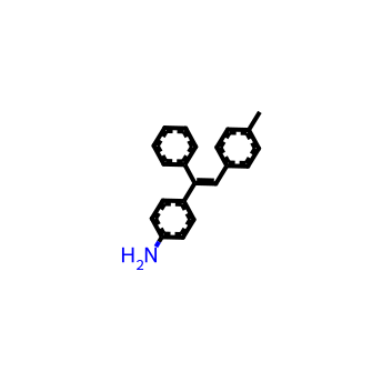 Cc1ccc(/C=C(\c2ccccc2)c2ccc(N)cc2)cc1